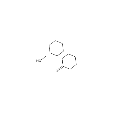 C1CCCCC1.CO.O=C1CCCCC1